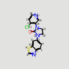 O=C1N(c2ccc3ncsc3c2)CCN1c1cnccc1Cl